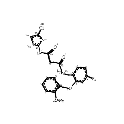 COc1ccccc1Oc1cc(F)ccc1NC(=O)CC(=O)Nc1ncc(Cl)s1